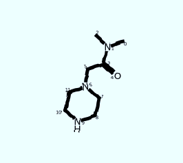 CN(C)C(=O)[CH]N1CCNCC1